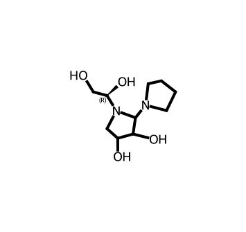 OC[C@@H](O)N1CC(O)C(O)C1N1CCCC1